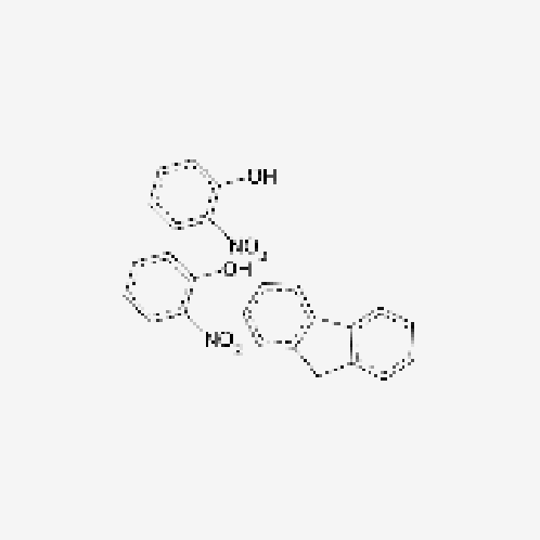 O=[N+]([O-])c1ccccc1O.O=[N+]([O-])c1ccccc1O.c1ccc2c(c1)Cc1ccccc1-2